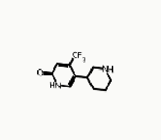 O=c1cc(C(F)(F)F)c(C2CCCNC2)c[nH]1